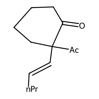 CCCC=CC1(C(C)=O)CCCCC1=O